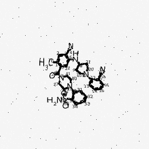 Cc1cc(C#N)c(NC2CCN(c3ccccc3C#N)CC2)cc1C(=O)N1CCN(c2ccccc2S(N)(=O)=O)CC1